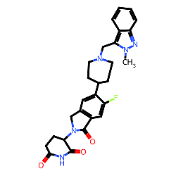 Cn1nc2ccccc2c1CN1CCC(c2cc3c(cc2F)C(=O)N(C2CCC(=O)NC2=O)C3)CC1